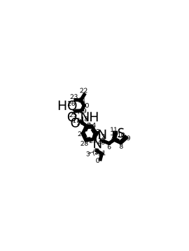 CC[C@H](C)n1c(Cc2ccsc2)nc2cc(C(=O)NC(CC(C)C)C(=O)O)ccc21